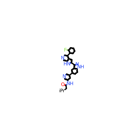 CC(C)CC(=O)Nc1cncc(-c2ccc3[nH]nc(-c4cc5c(-c6ccccc6F)cncc5[nH]4)c3c2)c1